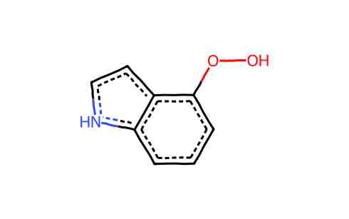 OOc1cccc2[nH]ccc12